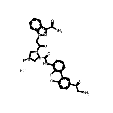 Cl.NCC(=O)c1ccc(Cl)c(-c2cccc(NC(=O)[C@@H]3C[C@@H](F)CN3C(=O)Cn3nc(C(N)=O)c4ccccc43)c2F)c1